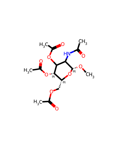 CO[C@@H]1O[C@H](COC(C)=O)[C@H](OC(C)=O)C(OC(C)=O)C1NC(C)=O